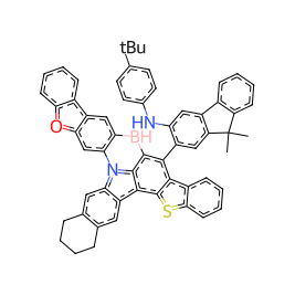 CC(C)(C)c1ccc(Nc2cc3c(cc2-c2c4c5c(c6cc7c(cc6n5-c5cc6oc8ccccc8c6cc5B4)CCCC7)c4sc5ccccc5c24)C(C)(C)c2ccccc2-3)cc1